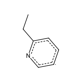 CCc1cc[c]cn1